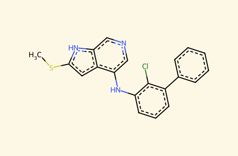 CSc1cc2c(Nc3cccc(-c4ccccc4)c3Cl)cncc2[nH]1